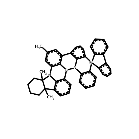 Cc1cc2c3c(c1)N1c4c(cccc4C4(C)CCCCC14C)B3N1c3ccccc3[Si]3(c4ccccc4-c4ccccc43)c3cccc-2c31